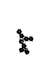 c1ccc(-c2ccc(N(c3ccc(-c4ccccc4)cc3)c3cccc(-c4ccc5c(c4)c4ccccc4n4c6ccccc6nc54)n3)cc2)cc1